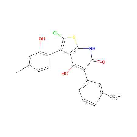 Cc1ccc(-c2c(Cl)sc3[nH]c(=O)c(-c4cccc(C(=O)O)c4)c(O)c23)c(O)c1